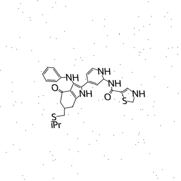 CC(C)SCC1CC(=O)c2c([nH]c(C3=CC(NC(=O)C4=CNCS4)NC=C3)c2Nc2ccccc2)C1